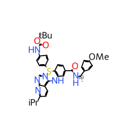 COc1ccc([C@H](C)NC(=O)c2ccc(Sc3ccc(NC(=O)OC(C)(C)C)cc3)c(Nc3ncnc4nc(C(C)C)ccc34)c2)cc1